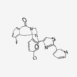 O=C(c1csc(-c2cccnc2)n1)N1CCN2C(=O)c3cccc(F)c3CC12c1ccc(Cl)cc1